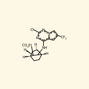 CCOC(=O)[C@H]1[C@H]2CC[C@H](CC2)[C@@H]1Nc1nc(Cl)nn2cc(C(F)(F)F)cc12